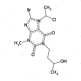 CC(O)CCn1c(=O)c2c(nc(Br)n2C(C)Cl)n(C)c1=O